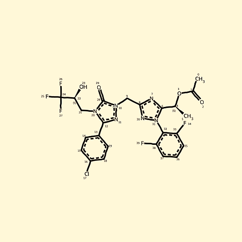 CC(=O)O[C@@H](C)c1nc(Cn2nc(-c3ccc(Cl)cc3)n(C[C@H](O)C(F)(F)F)c2=O)nn1-c1c(F)cccc1F